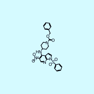 O=C(OCc1ccccc1)N1CCC(Nc2c([N+](=O)[O-])cnc3c2ccn3S(=O)(=O)c2ccccc2)CC1